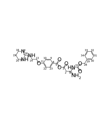 N[C@H](CC(=O)OC(=O)c1ccc(OCCNC2=NCCCN2)cc1)NC(=O)OCc1ccccc1